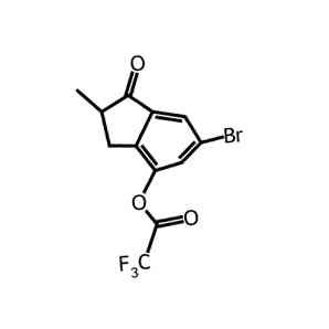 CC1Cc2c(OC(=O)C(F)(F)F)cc(Br)cc2C1=O